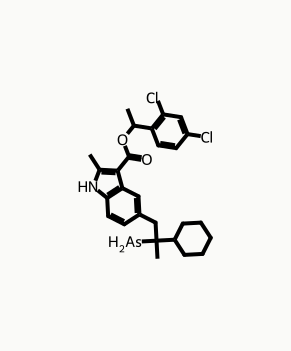 Cc1[nH]c2ccc(CC(C)([AsH2])C3CCCCC3)cc2c1C(=O)OC(C)c1ccc(Cl)cc1Cl